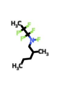 CCCC(C)CN(F)C(F)(F)C(C)(F)F